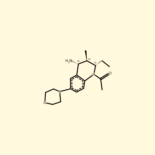 CC[C@H]1[C@H](C)[C@@H](N)c2cc(N3CCOCC3)ccc2N1C(C)=O